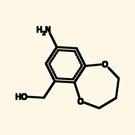 Nc1cc(CO)c2c(c1)OCCCO2